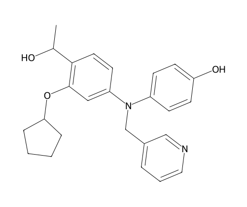 CC(O)c1ccc(N(Cc2cccnc2)c2ccc(O)cc2)cc1OC1CCCC1